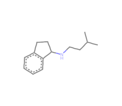 CC(C)CCNC1CCc2ccccc21